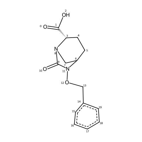 O=C(O)[C@@H]1CCC2CN1C(=O)N2OCc1ccccc1